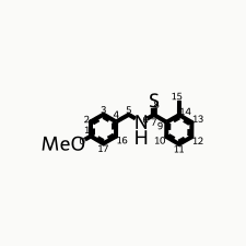 COc1ccc(CNC(=S)c2ccccc2C)cc1